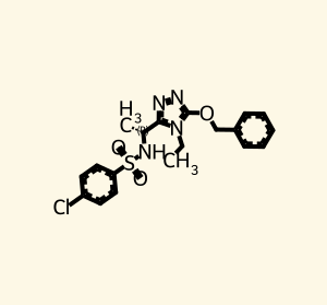 CCn1c(OCc2ccccc2)nnc1[C@@H](C)NS(=O)(=O)c1ccc(Cl)cc1